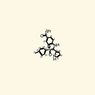 CCCC(=O)c1ccc(NC(c2ccc[nH]2)S(=O)(=O)c2ccc(C)cc2)cc1